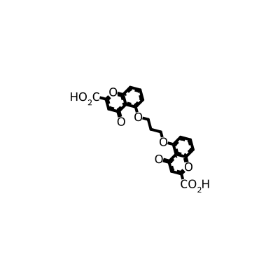 O=C(O)c1cc(=O)c2c(OCCCOc3cccc4oc(C(=O)O)cc(=O)c34)cccc2o1